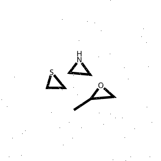 C1CN1.C1CS1.CC1CO1